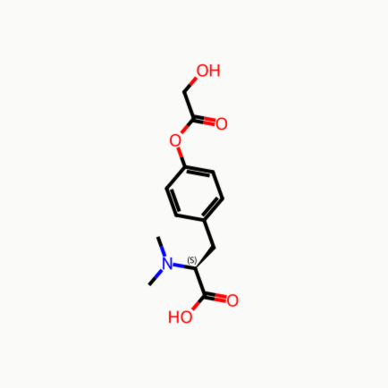 CN(C)[C@@H](Cc1ccc(OC(=O)CO)cc1)C(=O)O